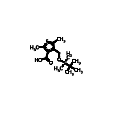 Cc1sc(C)c(C(=O)O)c1CO[Si](C)(C)C(C)(C)C